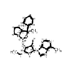 CC[C@H]1O[C@@H](n2cnc3c(C)ncnc32)C(F)[C@H]1O[P@@]1O[C@](C)(c2ccccc2)[C@@H]2CCCN21